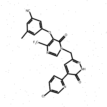 Cc1cc(C#N)cc(Oc2c(C(F)(F)F)ncn(Cc3cc(-c4ccc(Cl)cn4)c(=O)[nH]n3)c2=O)c1